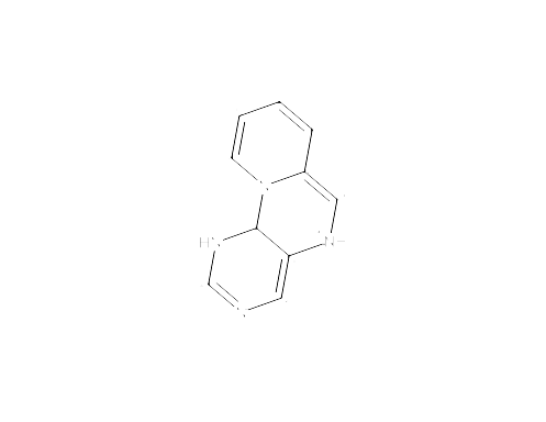 C1=CC2=CNC3=CN=CNC3N2C=C1